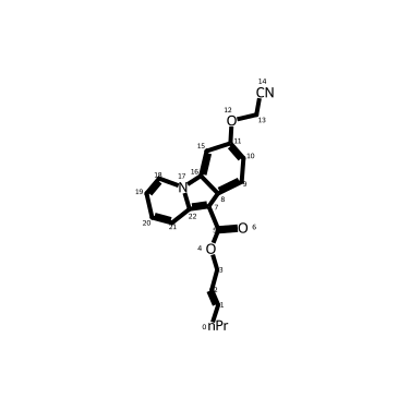 CCC/C=C/COC(=O)c1c2ccc(OCC#N)cc2n2ccccc12